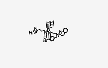 Cl.Cl.Cl.N=C(NCCCc1c[nH]cn1)NCCCN(Cc1ccc(Br)cc1)c1ccc2ccccc2n1